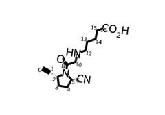 C#C[C@H]1CC[C@@H](C#N)N1C(=O)CNCCCCC(=O)O